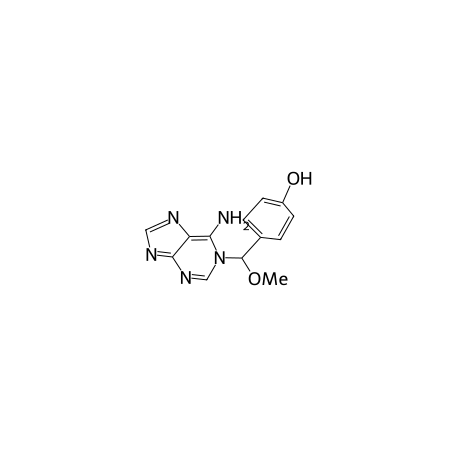 COC(c1ccc(O)cc1)n1cnc2ncnc-2c1N